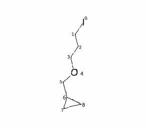 ICCCOCC1CC1